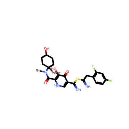 CCN(C(=O)c1[nH]cc(C(=N)SC(=N)Cc2ccc(F)cc2F)c(=O)c1O)C1(NC)CCC(O)CC1